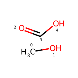 CO.O=CO